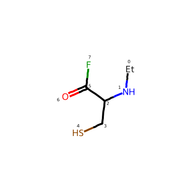 CCNC(CS)C(=O)F